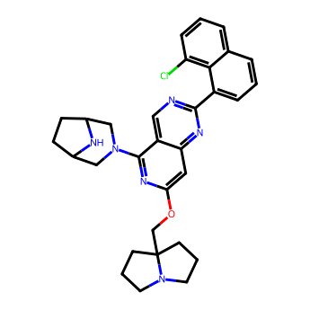 Clc1cccc2cccc(-c3ncc4c(N5CC6CCC(C5)N6)nc(OCC56CCCN5CCC6)cc4n3)c12